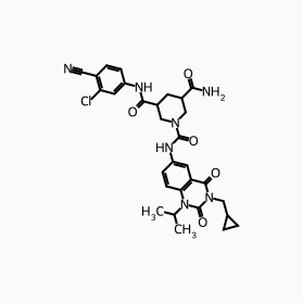 CC(C)n1c(=O)n(CC2CC2)c(=O)c2cc(NC(=O)N3CC(C(N)=O)CC(C(=O)Nc4ccc(C#N)c(Cl)c4)C3)ccc21